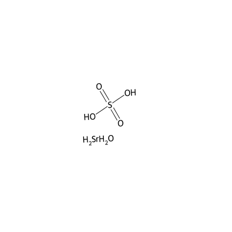 O.O=S(=O)(O)O.[SrH2]